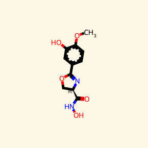 COc1ccc(C2=N[C@@H](C(=O)NO)CO2)cc1O